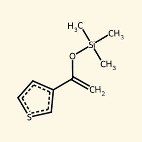 C=C(O[Si](C)(C)C)c1ccsc1